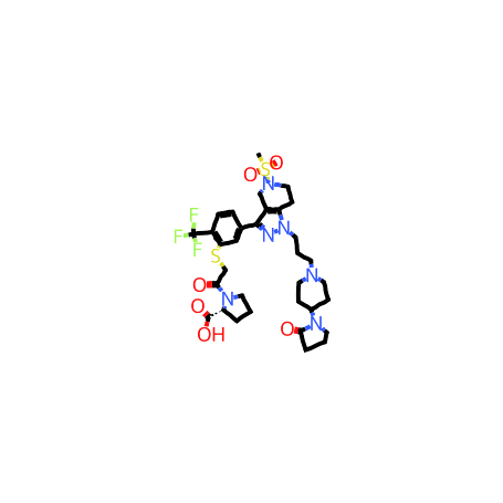 CS(=O)(=O)N1CCc2c(c(-c3ccc(C(F)(F)F)c(SCC(=O)N4CCC[C@@H]4C(=O)O)c3)nn2CCCN2CCC(N3CCCC3=O)CC2)C1